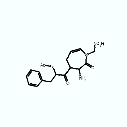 CC(=O)SC(Cc1ccccc1)C(=O)C1CC=CN(CC(=O)O)C(=O)C1N